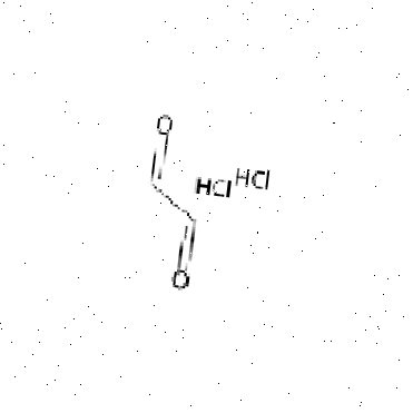 Cl.Cl.O=CC=O